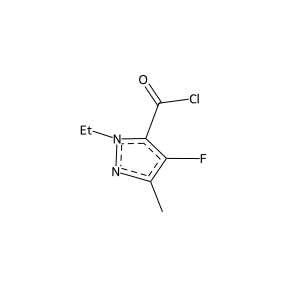 CCn1nc(C)c(F)c1C(=O)Cl